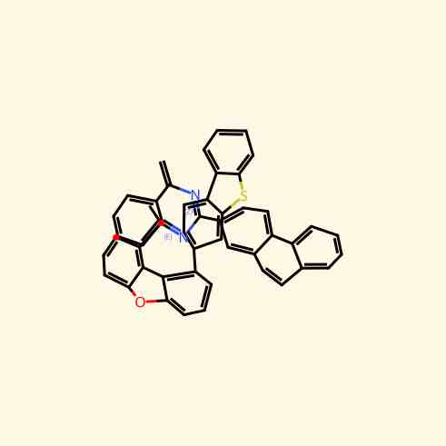 C=C(/N=C(\N=C(/C)c1cccc2oc3cccc(-c4ccc5c(c4)sc4ccccc45)c3c12)c1ccc2c(ccc3ccccc32)c1)c1ccccc1